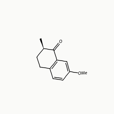 COc1ccc2c(c1)C(=O)[C@H](C)CC2